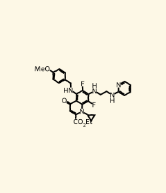 CCOC(=O)c1cc(=O)c2c(NCc3ccc(OC)cc3)c(F)c(NCCNc3ccccn3)c(F)c2n1C1CC1